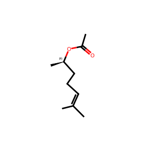 CC(=O)O[C@H](C)CCC=C(C)C